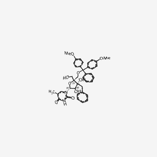 COc1ccc(C(OC[C@]2(CO)O[C@@H](n3cc(C)c(=O)[nH]c3=O)[C@H](O)[C@]2(O)Cc2ccccc2)(c2ccccc2)c2ccc(OC)cc2)cc1